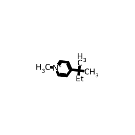 CCC(C)(C)c1cc[n+](C)cc1